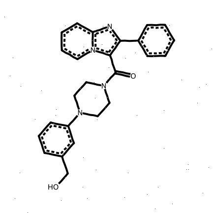 O=C(c1c(-c2ccccc2)nc2ccccn12)N1CCN(c2cccc(CO)c2)CC1